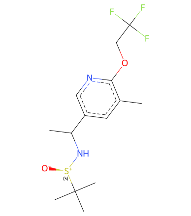 Cc1cc(C(C)N[S@+]([O-])C(C)(C)C)cnc1OCC(F)(F)F